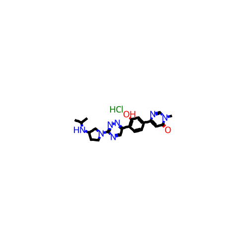 CC(C)NC1CCN(c2ncc(-c3ccc(-c4cc(=O)n(C)cn4)cc3O)nn2)C1.Cl